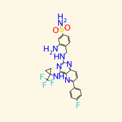 Nc1cc(S(N)(=O)=O)ccc1CNc1nc(NC2(C(F)(F)F)CC2)c2nc(-c3ccc(F)cc3)ccc2n1